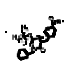 CC(C)(C)OC(=O)NC(Cc1ccc([N+](=O)[O-])cc1)C(=O)NCc1ccccc1